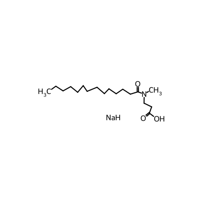 CCCCCCCCCCCCCC(=O)N(C)CCC(=O)O.[NaH]